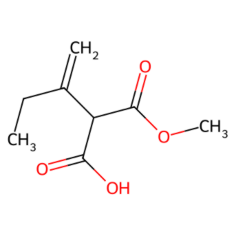 C=C(CC)C(C(=O)O)C(=O)OC